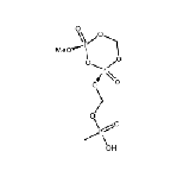 CO[P@@]1(=O)OCO[P@@](=O)(OCOP(C)(=O)O)O1